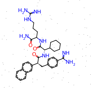 N=C(N)NCCCC(NC(=O)[C@@H](NC(=O)[C@@H](Cc1ccc(C(=N)N)cc1)c1ccc2ccccc2c1)C1CCCCC1)C(N)=O